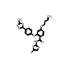 C=CCCOc1ccc(C(=O)Nc2ncc(F)s2)c(Oc2ccc(-c3nnc(C)o3)cc2)c1